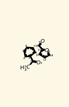 CC(=O)c1ccccc1.O=Cc1ccco1